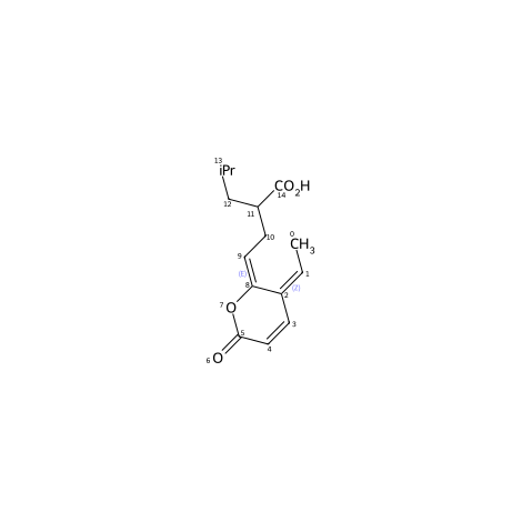 C/C=c1/ccc(=O)o/c1=C/CC(CC(C)C)C(=O)O